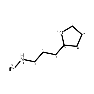 CC(C)NCCCC1CCCO1